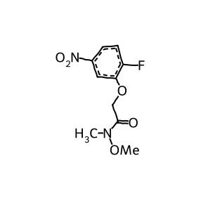 CON(C)C(=O)COc1cc([N+](=O)[O-])ccc1F